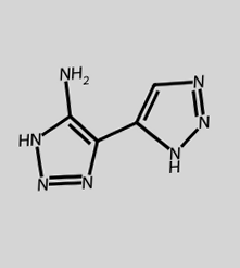 Nc1[nH]nnc1-c1cnn[nH]1